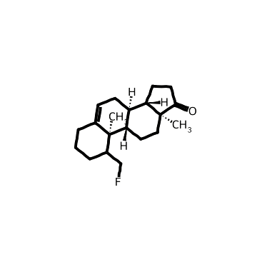 C[C@]12CC[C@H]3[C@@H](CC=C4CCCC(CF)[C@@]43C)[C@@H]1CCC2=O